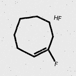 F.FC1=CCCCCCC1